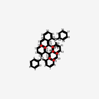 c1ccc(N(c2ccccc2)c2ccccc2-c2ccccc2[SiH2]c2cccc3cccc(P(c4ccccc4)c4ccccc4)c23)cc1